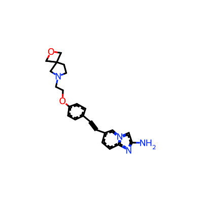 Nc1cn2cc(C#Cc3ccc(OCCN4CCC5(COC5)C4)cc3)ccc2n1